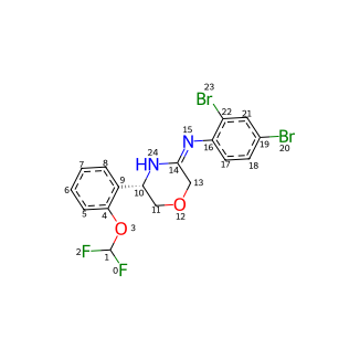 FC(F)Oc1ccccc1[C@H]1COCC(=Nc2ccc(Br)cc2Br)N1